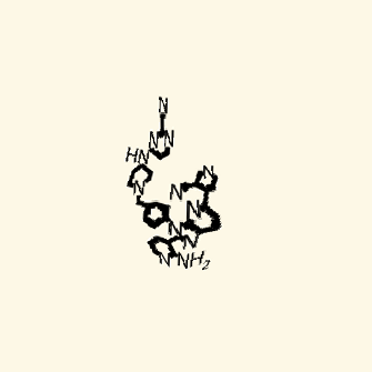 N#Cc1nccc(NC2CCN(Cc3ccc(-n4c(-c5cccnc5N)nc5ccc(-c6ccncc6C#N)nc54)cc3)CC2)n1